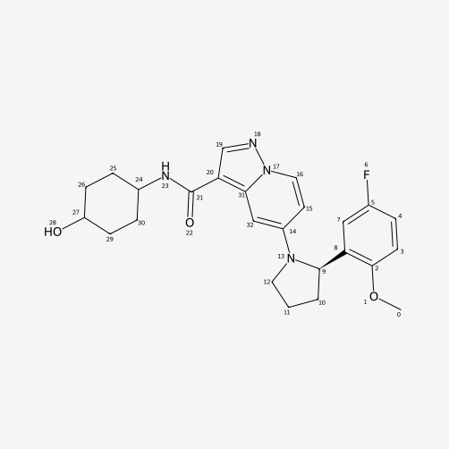 COc1ccc(F)cc1[C@H]1CCCN1c1ccn2ncc(C(=O)NC3CCC(O)CC3)c2c1